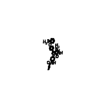 Bc1ccccc1Oc1ccc(-c2cn([C@H]3CC[C@H](NC(=O)C#CC)CC3)c3c(=O)[nH]nc(N)c23)cc1